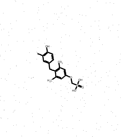 Cc1cc(OCP(=O)(O)O)cc(C)c1Cc1ccc(O)c(I)c1